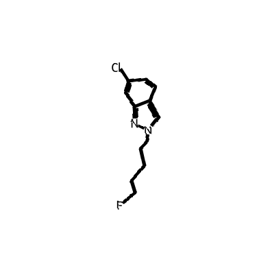 FCCCCCn1cc2ccc(Cl)cc2n1